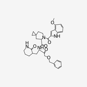 COc1cccc2[nH]c(C(=O)N3CCC4(CC4)CC3C(=O)NC(CC3CCCNC3=O)C(=O)COCc3ccccc3)cc12